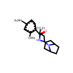 CCOC(=O)CCCN1C2CCC1CC(NC(=O)c1ccc(NC(C)=O)cc1OC)C2